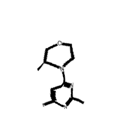 Cc1nc(I)cc(N2CCOC[C@@H]2C)n1